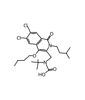 CCCCOc1c(CN(C(=O)O)C(C)(C)C)n(CCC(C)C)c(=O)c2cc(Cl)c(Cl)cc12